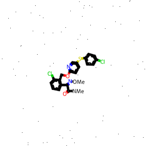 CNC(=O)C(=NOC)c1cccc(Cl)c1COc1ccc(Sc2ccc(Cl)cc2)cn1